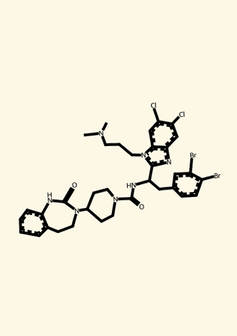 CN(C)CCCn1c(C(Cc2ccc(Br)c(Br)c2)NC(=O)N2CCC(N3CCc4ccccc4NC3=O)CC2)nc2cc(Cl)c(Cl)cc21